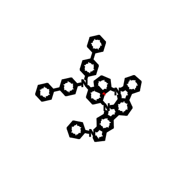 c1ccc(-c2ccc(N(c3ccc(-c4ccccc4)cc3)c3ccc(-n4c5cc6c(ccn6-c6ccccc6)cc5c5ccc6c7ccccc7n(-c7ccccc7)c6c54)cc3)cc2)cc1